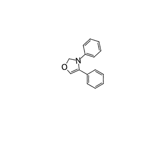 C1=C(c2ccccc2)N(c2ccccc2)CO1